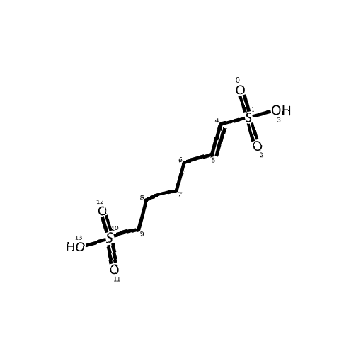 O=S(=O)(O)C=CCCCCS(=O)(=O)O